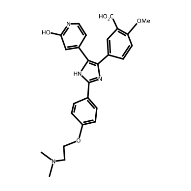 COc1ccc(-c2nc(-c3ccc(OCCN(C)C)cc3)[nH]c2-c2ccnc(O)c2)cc1C(=O)O